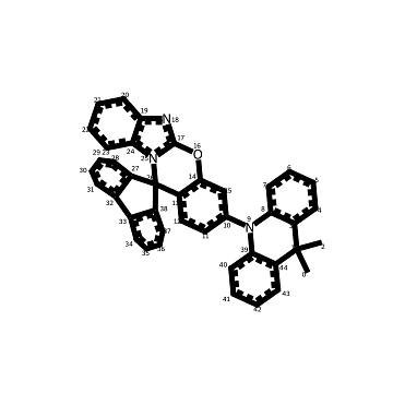 CC1(C)c2ccccc2N(c2ccc3c(c2)Oc2nc4ccccc4n2C32c3ccccc3-c3ccccc32)c2ccccc21